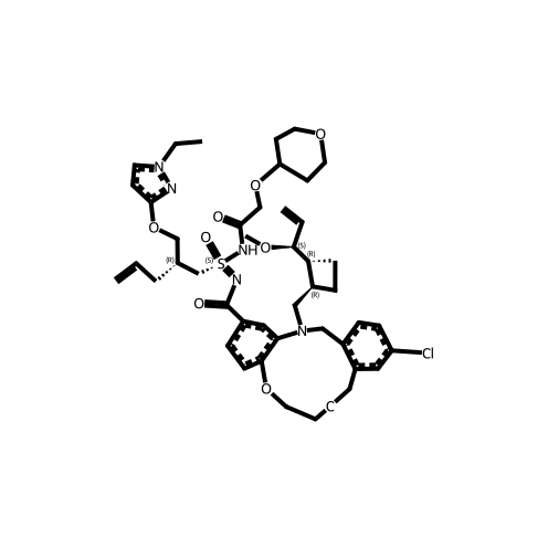 C=CC[C@H](COc1ccn(CC)n1)C[S@@](=O)(=NC(=O)c1ccc2c(c1)N(C[C@@H]1CC[C@H]1[C@H](C=C)OC)Cc1ccc(Cl)cc1CCCCO2)NC(=O)COC1CCOCC1